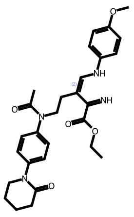 CCOC(=O)C(=N)/C(=C\Nc1ccc(OC)cc1)CCN(C(C)=O)c1ccc(N2CCCCC2=O)cc1